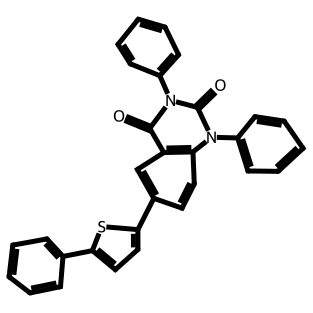 O=c1c2cc(-c3ccc(-c4ccccc4)s3)ccc2n(-c2ccccc2)c(=O)n1-c1ccccc1